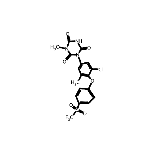 Cc1cc(-n2c(=O)[nH]c(=O)n(C)c2=O)cc(Cl)c1Oc1ccc(S(=O)(=O)C(F)(F)F)cc1